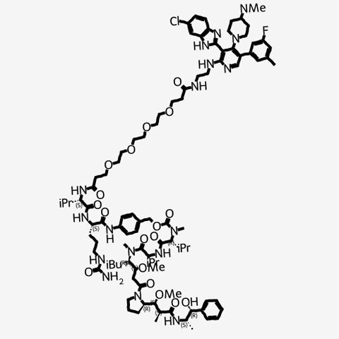 CC[C@@H](C)[C@H]([C@H](CC(=O)N1CCC[C@@H]1[C@@H](OC)[C@H](C)C(=O)N[C@@H](C)[C@H](O)c1ccccc1)OC)N(C)C(=O)C(NC(=O)[C@@H](C(C)C)N(C)C(=O)OCc1ccc(NC(=O)[C@H](CCCNC(N)=O)NC(=O)[C@@H](NC(=O)CCOCCOCCOCCOCCC(=O)NCCNc2ncc(-c3cc(C)cc(F)c3)c(N3CCC(NC)CC3)c2-c2nc3ccc(Cl)cc3[nH]2)C(C)C)cc1)C(C)C